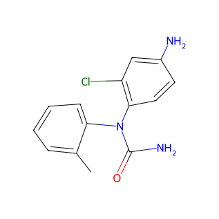 Cc1ccccc1N(C(N)=O)c1ccc(N)cc1Cl